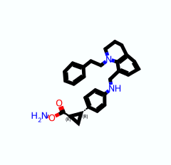 NOC(=O)[C@@H]1C[C@H]1c1ccc(NCc2cccc3c2N(CCc2ccccc2)CCC3)cc1